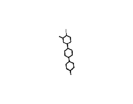 CC1CCC(C2CCC(C3CCC(I)C(C)C3)CC2)CC1